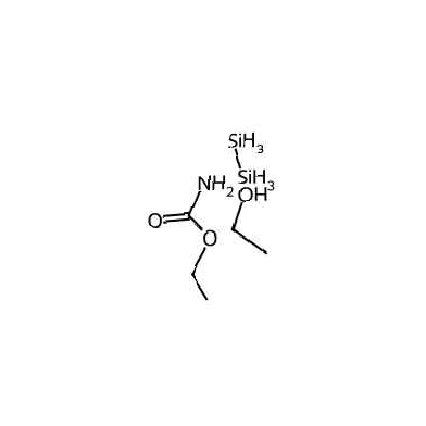 CCO.CCOC(N)=O.[SiH3][SiH3]